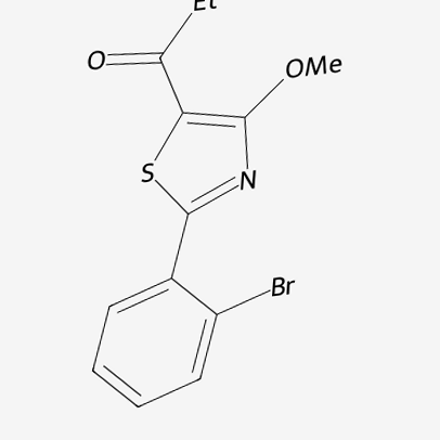 CCC(=O)c1sc(-c2ccccc2Br)nc1OC